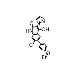 CCOc1ccc(-c2cc3c(O)c(-n4cccn4)c(=O)[nH]c3cc2Cl)cc1